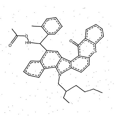 CCCCC(CC)Cn1c2ccc3sc4ccccc4c(=O)c3c2c2cc(C(NOC(C)=O)c3ccccc3C)c3ccccc3c21